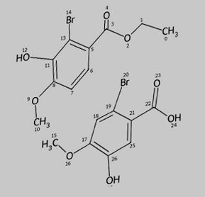 CCOC(=O)c1ccc(OC)c(O)c1Br.COc1cc(Br)c(C(=O)O)cc1O